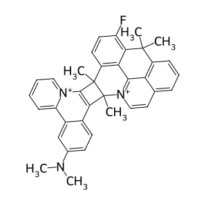 CN(C)c1ccc2c3c([n+]4ccccc4c2c1)C1(C)c2ccc(F)c4c2-c2c5c(cccc5cc[n+]2C31C)C4(C)C